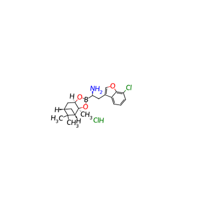 CC1(C)[C@@H]2C[C@H]3OB([C@@H](N)Cc4coc5c(Cl)cccc45)O[C@@]3(C)[C@H]1C2.Cl